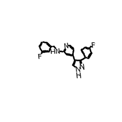 Fc1ccc(-c2n[nH]cc2-c2ccnc(NCc3cccc(F)c3)c2)cc1